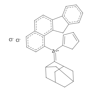 C1=CC[C]([Zr+2](=[C]2C3CC4CC(C3)CC2C4)[c]2cccc3ccc4c(c23)Cc2ccccc2-4)=C1.[Cl-].[Cl-]